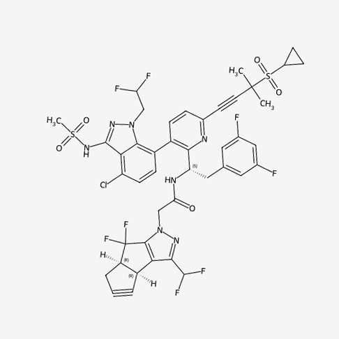 CC(C)(C#Cc1ccc(-c2ccc(Cl)c3c(NS(C)(=O)=O)nn(CC(F)F)c23)c([C@H](Cc2cc(F)cc(F)c2)NC(=O)Cn2nc(C(F)F)c3c2C(F)(F)[C@@H]2CC#C[C@H]32)n1)S(=O)(=O)C1CC1